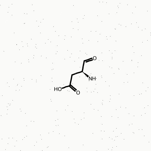 [NH][C@H](C=O)CC(=O)O